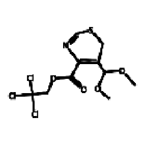 COC(OC)C1=C(C(=O)OCC(Cl)(Cl)Cl)N=CSC1